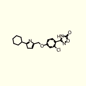 O=c1[nH]c(-c2ccc(OCC3=CCC(C4CCCCC4)=N3)cc2Cl)no1